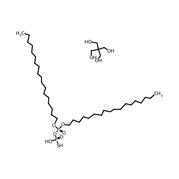 CCCCCCCCCCCCCCCCCCOP(=O)(OCCCCCCCCCCCCCCCCCC)OP(=O)(O)S.OCC(CO)(CO)CO